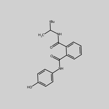 CC(NC(=O)c1ccccc1C(=O)Nc1ccc(O)cc1)C(C)(C)C